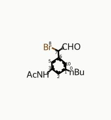 CCCCc1cc(NC(C)=O)cc(C(Br)C=O)c1